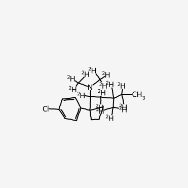 [2H]C([2H])([2H])N(C([2H])([2H])[2H])C([2H])(C1(c2ccc(Cl)cc2)CCC1)C([2H])([2H])C([2H])(C([2H])([2H])[2H])C([2H])([2H])C